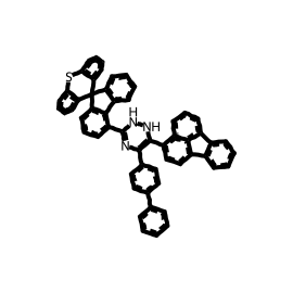 c1ccc(-c2ccc(C3=C(c4ccc5c6c(cccc46)-c4ccccc4-5)NNC(c4cccc5c4-c4ccccc4C54c5ccccc5Sc5ccccc54)=N3)cc2)cc1